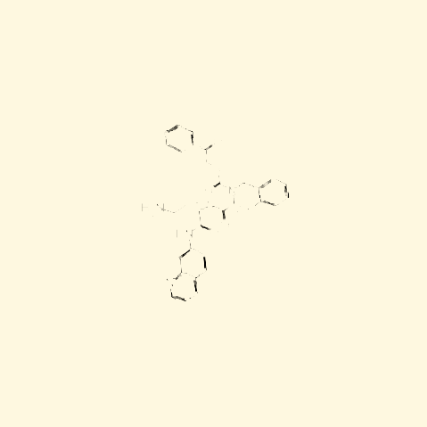 NCC[C@H](NC(=O)[C@@H]1Cc2ccccc2CN1C(=O)CCC(=O)c1ccccc1)C(=O)Nc1ccc2cccnc2c1